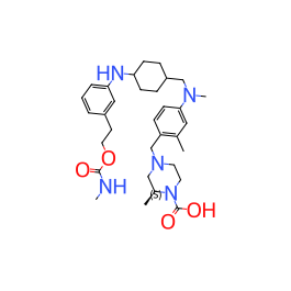 CNC(=O)OCCc1cccc(NC2CCC(CN(C)c3ccc(CN4CCN(C(=O)O)[C@@H](C)C4)c(C)c3)CC2)c1